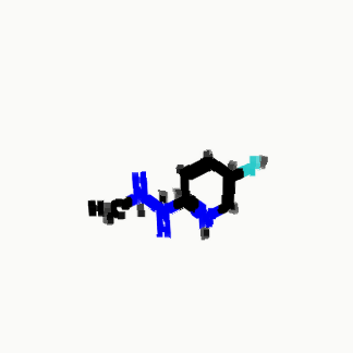 CNNc1ccc(F)cn1